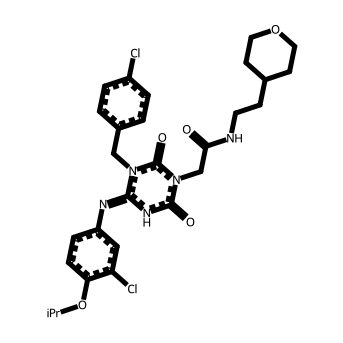 CC(C)Oc1ccc(/N=c2\[nH]c(=O)n(CC(=O)NCCC3CCOCC3)c(=O)n2Cc2ccc(Cl)cc2)cc1Cl